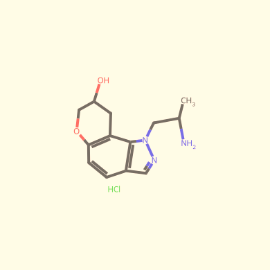 CC(N)Cn1ncc2ccc3c(c21)CC(O)CO3.Cl